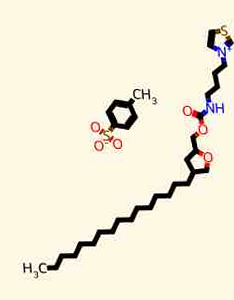 CCCCCCCCCCCCCCCCC1COC(COC(=O)NCCCC[n+]2ccsc2)C1.Cc1ccc(S(=O)(=O)[O-])cc1